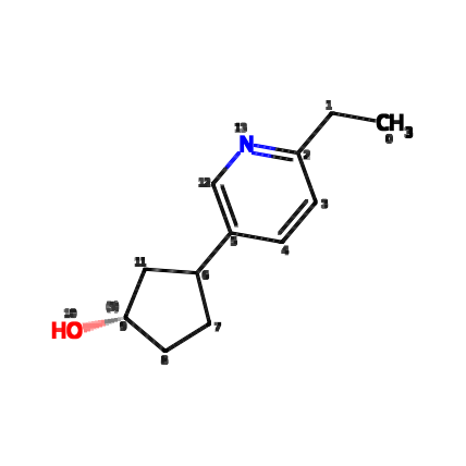 CCc1ccc(C2CC[C@H](O)C2)cn1